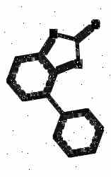 O=C1N=c2cccc(-c3ccccc3)c2=N1